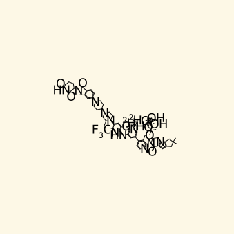 [2H]C([2H])([2H])n1cc(-c2ccnc(N3CCn4c(cc5c4CC(C)(C)C5)C3=O)c2COC(C)OP(=O)(O)O)cc(Nc2ccc(N3CCN(C4CCN(c5ccc6c(c5)CN(C5CCC(=O)NC5=O)C6=O)CC4)C[C@@H]3C)c(C(F)(F)F)n2)c1=O